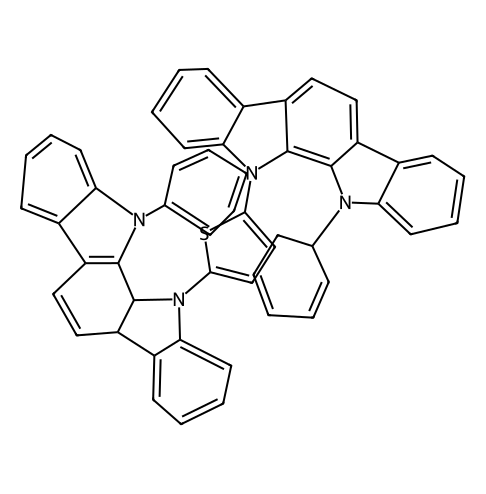 C1=CCC(n2c3ccccc3c3ccc4c5ccccc5n(-c5ccc(N6c7ccccc7C7C=Cc8c(n(-c9ccccc9)c9ccccc89)C76)s5)c4c32)C=C1